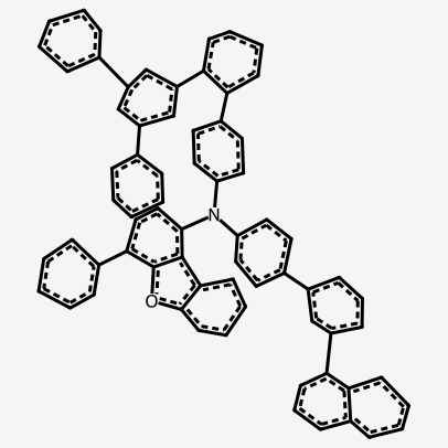 c1ccc(-c2cc(-c3ccccc3)cc(-c3ccccc3-c3ccc(N(c4ccc(-c5cccc(-c6cccc7ccccc67)c5)cc4)c4ccc(-c5ccccc5)c5oc6ccccc6c45)cc3)c2)cc1